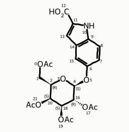 CC(=O)OC[C@H]1O[C@@H](Oc2ccc3[nH]c(C(=O)O)cc3c2)[C@H](OC(C)=O)[C@@H](OC(C)=O)[C@H]1OC(C)=O